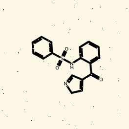 O=C(C1=CCN=C1)c1ccccc1NS(=O)(=O)c1ccccc1